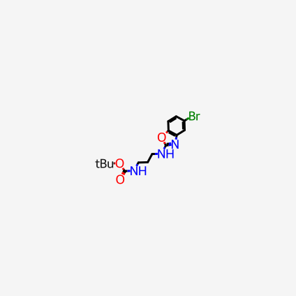 CC(C)(C)OC(=O)NCCCNc1nc2cc(Br)ccc2o1